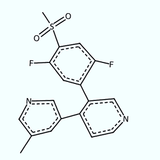 Cc1cncc(-c2ccncc2-c2cc(F)c(S(C)(=O)=O)cc2F)c1